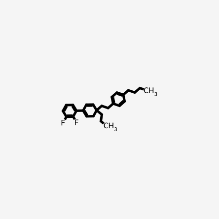 CCCCc1ccc(CCC2(CCC)C=CC(c3cccc(F)c3F)=CC2)cc1